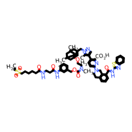 C=CS(=O)(=O)CCCCCC(=O)NCCC(=O)Nc1[c]ccc(COC(=O)N(C)CCOC23CC4(C)CC(C)(CC(Cn5ncc(-c6ccc(N7CCc8cccc(C(=O)Nc9nc%10ccccc%10s9)c8C7)nc6C(=O)O)c5C)(C4)C2)C3)c1